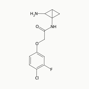 NC1C2CC12NC(=O)COc1ccc(Cl)c(F)c1